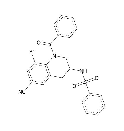 N#Cc1cc(Br)c2c(c1)CC(NS(=O)(=O)c1ccccc1)CN2C(=O)c1ccccc1